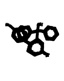 OC(c1ccccc1)(c1ccccc1)c1cc(Br)ccc1-c1ccc(Br)cc1